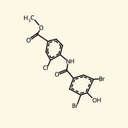 COC(=O)c1ccc(NC(=O)c2cc(Br)c(O)c(Br)c2)c(Cl)c1